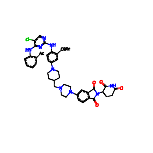 COc1cc(N2CCC(CN3CCN(c4ccc5c(c4)C(=O)N(C4CCC(=O)NC4=O)C5=O)CC3)CC2)ccc1Nc1ncc(Cl)c(Nc2ccccc2C(C)=O)n1